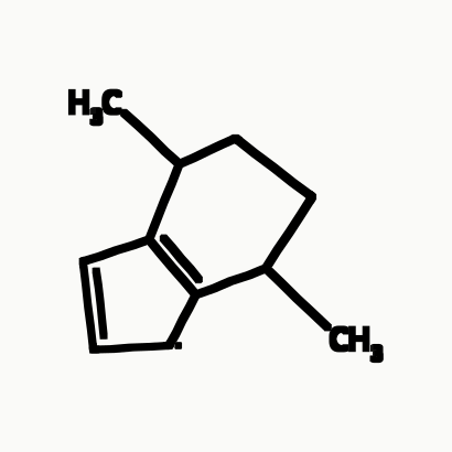 CC1CCC(C)C2=C1[CH]C=C2